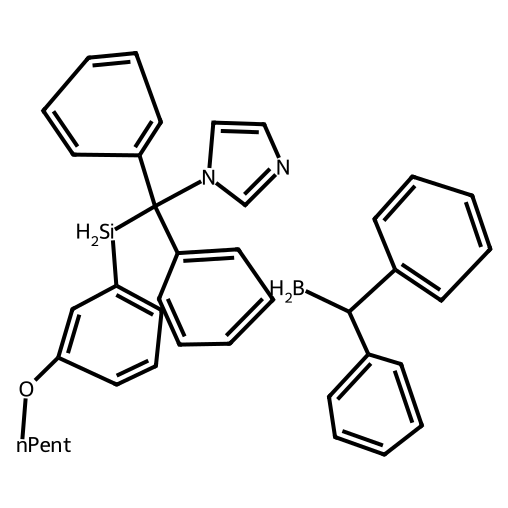 BC(c1ccccc1)c1ccccc1.CCCCCOc1cccc([SiH2]C(c2ccccc2)(c2ccccc2)n2ccnc2)c1